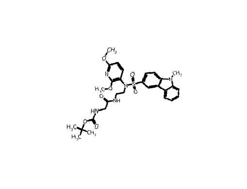 COc1ccc(N(CCNC(=O)CNC(=O)OC(C)(C)C)S(=O)(=O)c2ccc3c(c2)c2ccccc2n3C)c(OC)n1